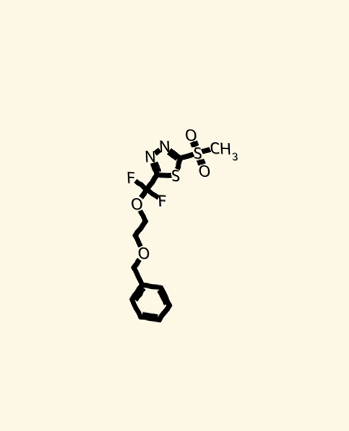 CS(=O)(=O)c1nnc(C(F)(F)OCCOCc2ccccc2)s1